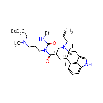 C=CCN1C[C@H](C(=O)N(CCCN(C)CC(=O)OCC)C(=O)NCC)C[C@@H]2c3cccc4[nH]cc(c34)C[C@H]21